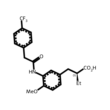 CC[C@@H](Cc1ccc(OC)c(NC(=O)Cc2ccc(C(F)(F)F)cc2)c1)C(=O)O